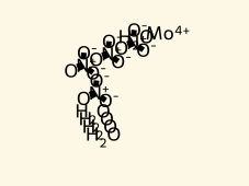 O.O.O.O.O.O=[N+]([O-])[O-].O=[N+]([O-])[O-].O=[N+]([O-])[O-].O=[N+]([O-])[O-].[Mo+4]